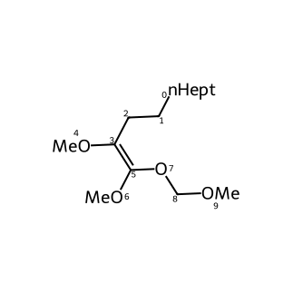 CCCCCCCCCC(OC)=C(OC)OCOC